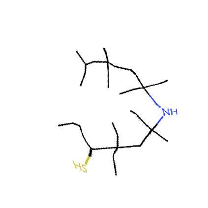 CCC(S)C(C)(C)CC(C)(C)NC(C)(C)CC(C)(C)C(C)C